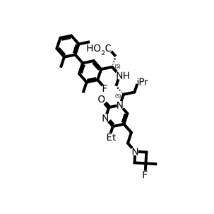 CCc1nc(=O)n([C@H](CN[C@@H](CC(=O)O)c2cc(-c3c(C)cccc3C)cc(C)c2F)CC(C)C)cc1CCN1CC(C)(F)C1